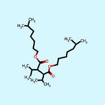 CC(C)CCCCCOC(=O)C(C(C)C)C(C(=O)OCCCCCC(C)C)C(C)C